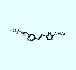 CC(=O)Nc1nc(/C=C/c2csc(/C=C/C(=O)O)c2)cs1